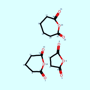 O=C1CCC(=O)O1.O=C1CCCC(=O)O1.O=C1CCCCC(=O)O1